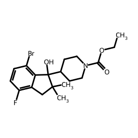 CCOC(=O)N1CCC(C2(O)c3c(Br)ccc(F)c3CC2(C)C)CC1